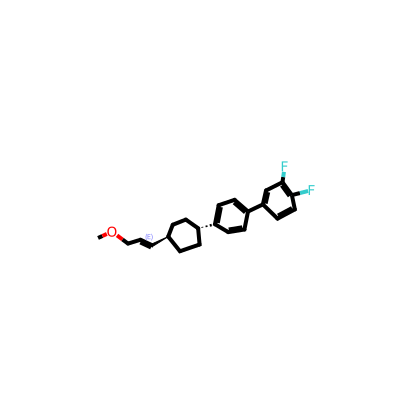 COC/C=C/[C@H]1CC[C@H](c2ccc(-c3ccc(F)c(F)c3)cc2)CC1